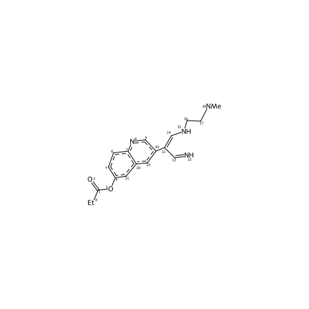 CCC(=O)Oc1ccc2ncc(/C(C=N)=C/NCCNC)cc2c1